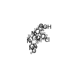 COc1ncc(-c2cc(-c3nc4cc(C)c(CC(=O)O)c(-c5ccc(Cl)cc5OC(C)(C)C)c4s3)ccn2)cn1